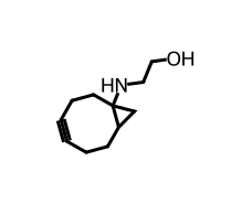 OCCNC12CCC#CCCC1C2